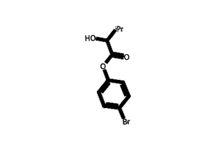 CC(C)C(O)C(=O)Oc1ccc(Br)cc1